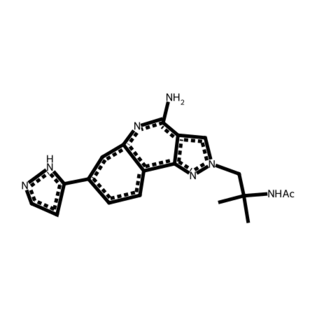 CC(=O)NC(C)(C)Cn1cc2c(N)nc3cc(-c4ccn[nH]4)ccc3c2n1